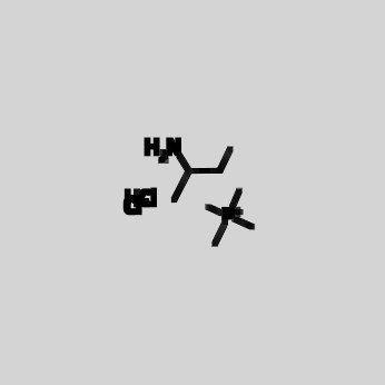 CCC(C)N.C[P+](C)(C)C.Cl.[Cl-]